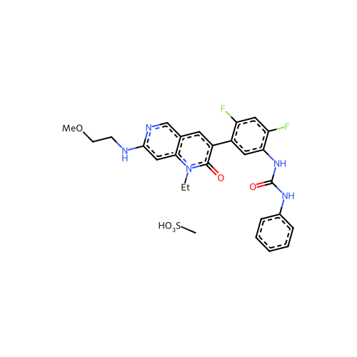 CCn1c(=O)c(-c2cc(NC(=O)Nc3ccccc3)c(F)cc2F)cc2cnc(NCCOC)cc21.CS(=O)(=O)O